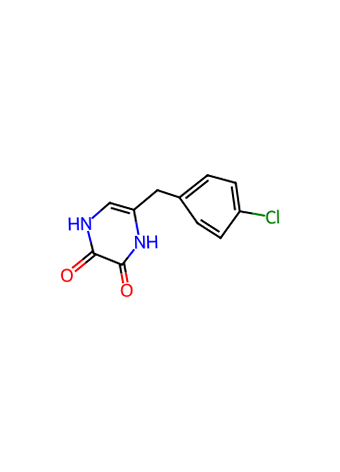 O=c1[nH]cc(Cc2ccc(Cl)cc2)[nH]c1=O